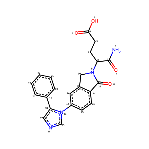 NC(=O)C(CCC(=O)O)N1Cc2cc(-n3cncc3-c3ccccc3)ccc2C1=O